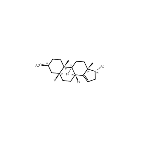 CC(=O)O[C@H]1CC[C@@]2(C)[C@H](CC[C@H]3C4=CC[C@@H](C(C)=O)[C@@]4(C)CC[C@@H]32)C1